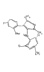 Cc1cc(Cl)c(Nc2c(-c3ccc(F)cc3Br)c(C)nn2C)c(Cl)c1